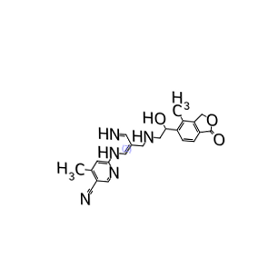 Cc1cc(N/C=C(\C=N)CNCC(O)c2ccc3c(c2C)COC3=O)ncc1C#N